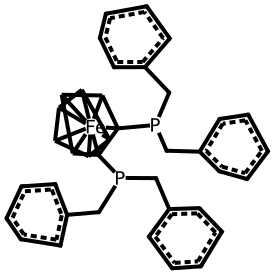 c1ccc(CP(Cc2ccccc2)[C]23[CH]4[CH]5[CH]6[C]2(P(Cc2ccccc2)Cc2ccccc2)[Fe]54632789[CH]3[CH]2[CH]7[CH]8[CH]39)cc1